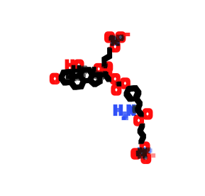 C[C@]12C=CC(=O)C=C1CCC1C3CC[C@](OC(=O)CCCO[N+](=O)[O-])(C(=O)COC(=O)Oc4ccc(C[C@H](N)C(=O)OCCCCO[N+](=O)[O-])cc4)[C@@]3(C)C[C@H](O)[C@@H]12